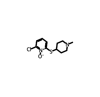 CN1CCC(Sc2cccc(Cl)[n+]2[O-])CC1